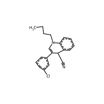 CCCCN1C=C(c2cccc(Cl)c2)C(C#N)c2ccccc21